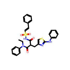 CCN(C(=O)C(Cc1csc(Nc2ccccc2)n1)C(=O)NS(=O)(=O)C=Cc1ccccc1)c1ccccc1